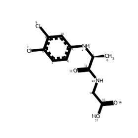 C[C@H](Nc1ccc(Cl)c(Cl)c1)C(=O)NCC(=O)O